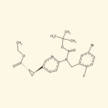 CCOC(=O)[C@H]1C[C@@H]1c1ccc(N(Cc2cc(Br)ccc2F)C(=O)OC(C)(C)C)nc1